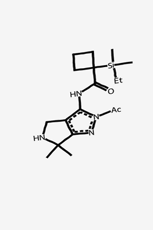 CC[Si](C)(C)C1(C(=O)Nc2c3c(nn2C(C)=O)C(C)(C)NC3)CCC1